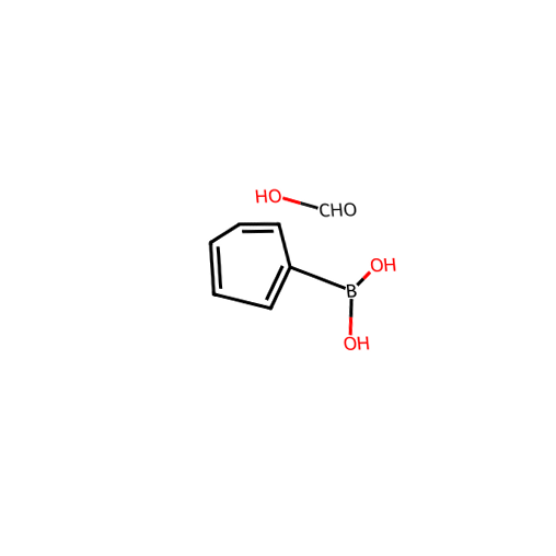 O=CO.OB(O)c1ccccc1